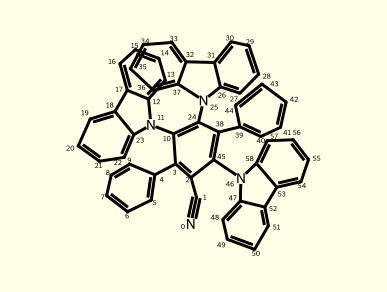 N#Cc1c(-c2ccccc2)c(-n2c3ccccc3c3ccccc32)c(-n2c3ccccc3c3ccccc32)c(-c2ccccc2)c1-n1c2ccccc2c2ccccc21